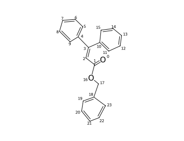 O=C(C=C(c1ccccc1)c1ccccc1)OCc1ccccc1